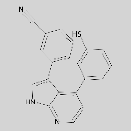 N#Cc1cccc(-c2c[nH]c3nccc(-c4cccc(S)c4)c23)c1